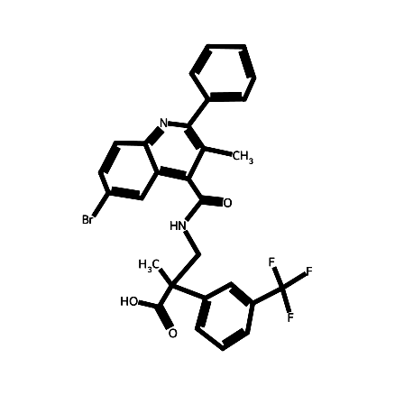 Cc1c(-c2ccccc2)nc2ccc(Br)cc2c1C(=O)NCC(C)(C(=O)O)c1cccc(C(F)(F)F)c1